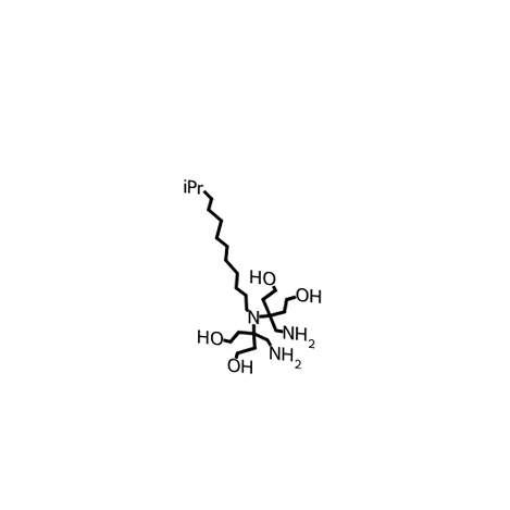 CC(C)CCCCCCCCCCN(C(CN)(CCO)CCO)C(CN)(CCO)CCO